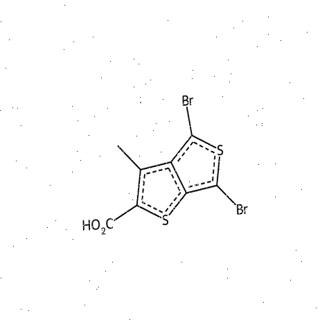 Cc1c(C(=O)O)sc2c(Br)sc(Br)c12